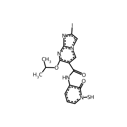 CC(C)Oc1nc2nc(I)cn2cc1C(=O)Nc1cccn(S)c1=O